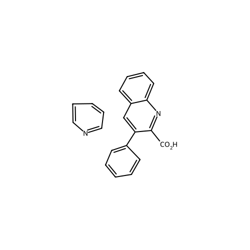 O=C(O)c1nc2ccccc2cc1-c1ccccc1.c1ccncc1